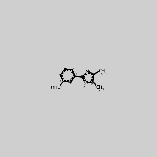 Cc1nc(-c2cccc(C=O)c2)sc1C